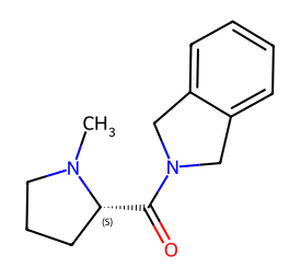 CN1CCC[C@H]1C(=O)N1Cc2ccccc2C1